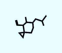 C=CC1C(C)C(CC(C)C)CCC12CC2